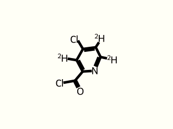 [2H]c1nc(C(=O)Cl)c([2H])c(Cl)c1[2H]